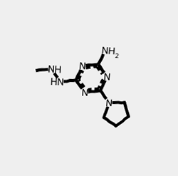 CNNc1nc(N)nc(N2CCCC2)n1